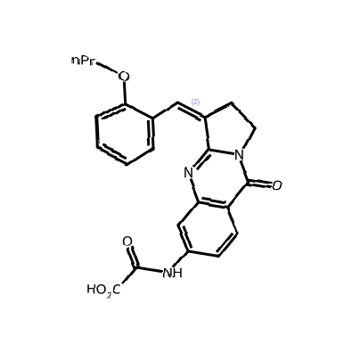 CCCOc1ccccc1/C=C1/CCn2c1nc1cc(NC(=O)C(=O)O)ccc1c2=O